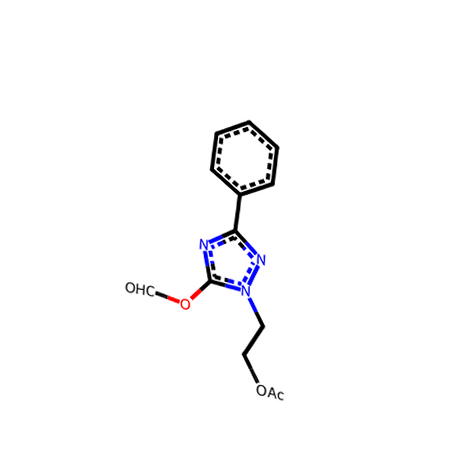 CC(=O)OCCn1nc(-c2ccccc2)nc1OC=O